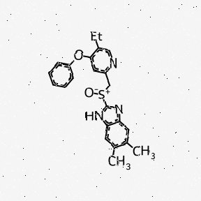 CCc1cnc(C[S+]([O-])c2nc3cc(C)c(C)cc3[nH]2)cc1Oc1ccccc1